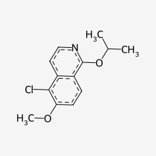 COc1ccc2c(OC(C)C)nccc2c1Cl